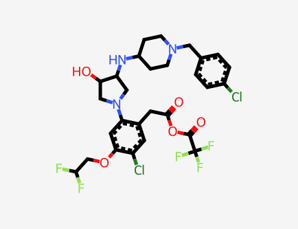 O=C(Cc1cc(Cl)c(OCC(F)F)cc1N1CC(O)C(NC2CCN(Cc3ccc(Cl)cc3)CC2)C1)OC(=O)C(F)(F)F